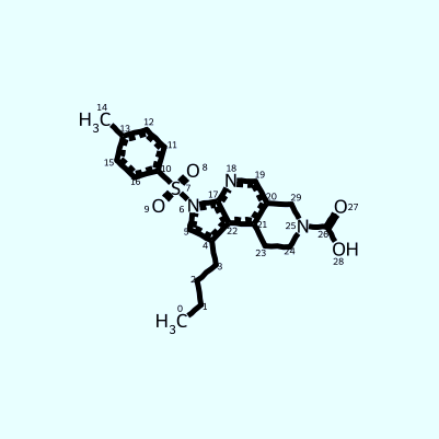 CCCCc1cn(S(=O)(=O)c2ccc(C)cc2)c2ncc3c(c12)CCN(C(=O)O)C3